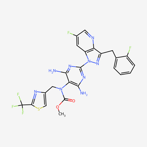 COC(=O)N(Cc1csc(C(F)(F)F)n1)c1c(N)nc(-n2nc(Cc3ccccc3F)c3ncc(F)cc32)nc1N